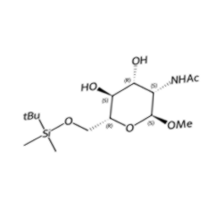 CO[C@H]1O[C@H](CO[Si](C)(C)C(C)(C)C)[C@@H](O)[C@H](O)[C@@H]1NC(C)=O